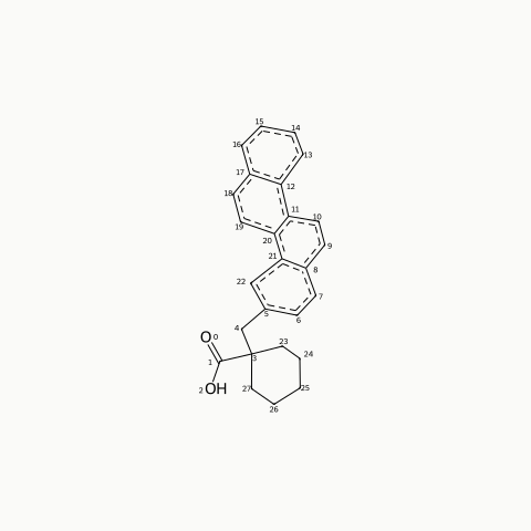 O=C(O)C1(Cc2ccc3ccc4c5ccccc5ccc4c3c2)CCCCC1